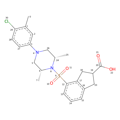 Cc1cc(N2C[C@@H](C)N(S(=O)(=O)c3cccc4c3CC(C(=O)O)C4)[C@@H](C)C2)ccc1Cl